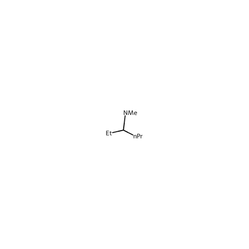 [CH2]CC(CCC)NC